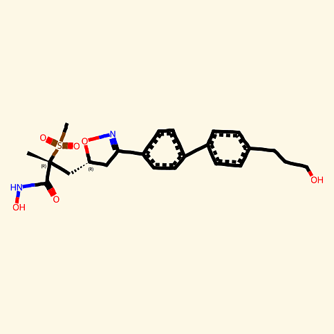 C[C@@](C[C@H]1CC(c2ccc(-c3ccc(CCCO)cc3)cc2)=NO1)(C(=O)NO)S(C)(=O)=O